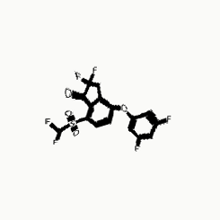 O=C1c2c(S(=O)(=O)C(F)F)ccc(Oc3cc(F)cc(F)c3)c2CC1(F)F